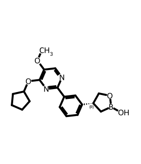 COc1cnc(-c2cccc([C@@H]3COB(O)C3)c2)nc1OC1CCCC1